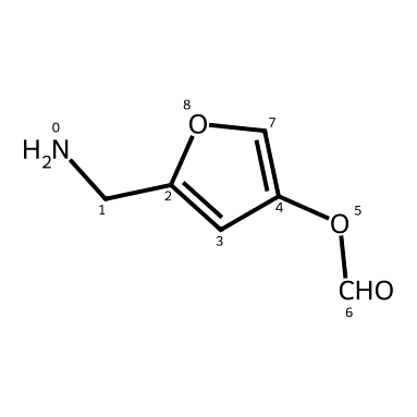 NCc1cc(OC=O)co1